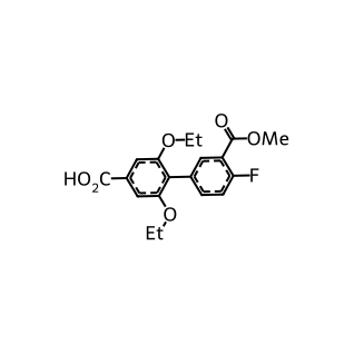 CCOc1cc(C(=O)O)cc(OCC)c1-c1ccc(F)c(C(=O)OC)c1